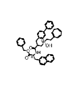 O=C(N[C@@H](Cc1ccc2ccccc2c1)C(=O)OCc1ccccc1)C(Cc1ccc(-c2ccccc2)cc1)CP(=O)(O)CCC1=CCC=CC=C1